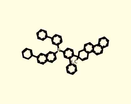 CC1(c2ccc(N(c3cccc(-c4ccccc4)c3)c3ccc4ccc(C5=CC=CCC5)cc4c3)cc2-c2ccccc2)C=Cc2c(ccc3c2ccc2ccccc23)C1